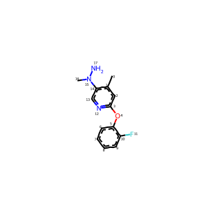 Cc1cc(Oc2ccccc2F)ncc1N(C)N